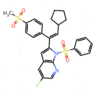 CS(=O)(=O)c1ccc(C(=CC2CCCC2)c2cc3cc(F)cnc3n2S(=O)(=O)c2ccccc2)cc1